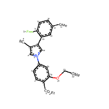 CCOC(=O)c1ccc(-n2cc(C#N)c(-c3cc(OC)ccc3F)c2)cc1OCOC